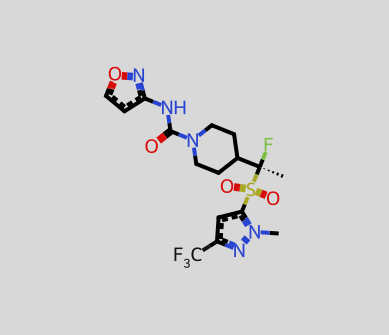 Cn1nc(C(F)(F)F)cc1S(=O)(=O)[C@](C)(F)C1CCN(C(=O)Nc2ccon2)CC1